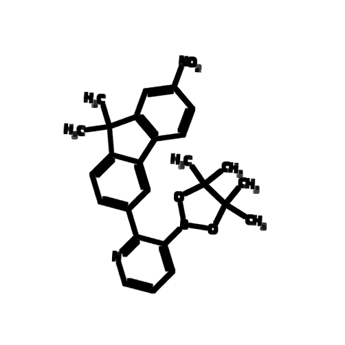 CC1(C)c2ccc(-c3ncccc3B3OC(C)(C)C(C)(C)O3)cc2-c2ccc([N+](=O)[O-])cc21